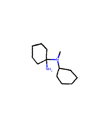 CN(C1CCCCC1)C1(N)CCCCC1